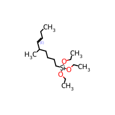 CC/C=C/C(C)CCCC[Si](OCC)(OCC)OCC